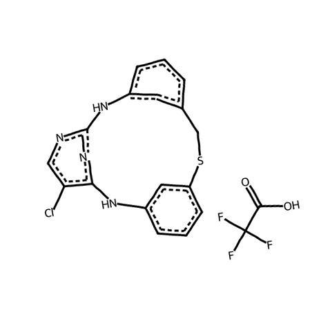 Clc1cnc2nc1Nc1cccc(c1)SCc1cccc(c1)N2.O=C(O)C(F)(F)F